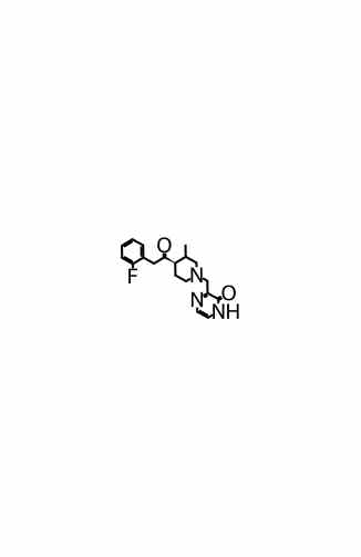 CC1CN(Cc2ncc[nH]c2=O)CC[C@H]1C(=O)Cc1ccccc1F